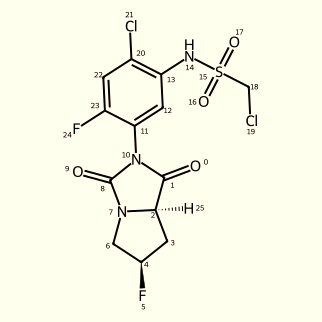 O=C1[C@H]2C[C@@H](F)CN2C(=O)N1c1cc(NS(=O)(=O)CCl)c(Cl)cc1F